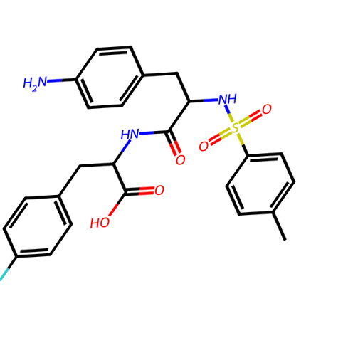 Cc1ccc(S(=O)(=O)NC(Cc2ccc(N)cc2)C(=O)NC(Cc2ccc(F)cc2)C(=O)O)cc1